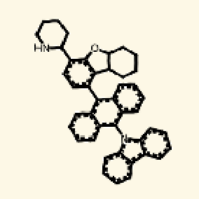 c1ccc2c(-n3c4ccccc4c4ccccc43)c3ccccc3c(-c3ccc(C4CCCCN4)c4c3C3CCCCC3O4)c2c1